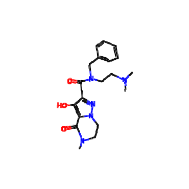 CN(C)CCN(Cc1ccccc1)C(=O)c1nn2c(c1O)C(=O)N(C)CC2